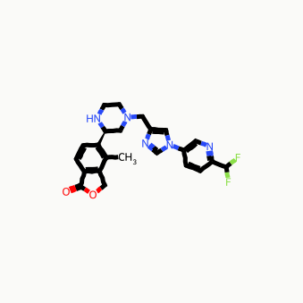 Cc1c([C@@H]2CN(Cc3cn(-c4ccc(C(F)F)nc4)cn3)CCN2)ccc2c1COC2=O